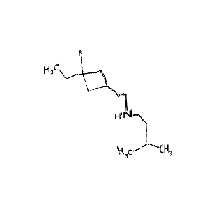 CCC1(F)CC(CNCC(C)C)C1